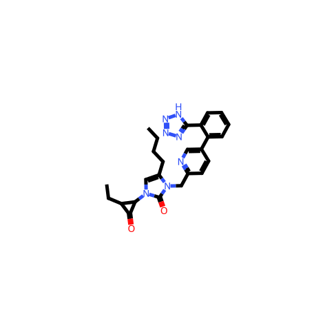 CCCCc1cn(C2C(=O)C2CC)c(=O)n1Cc1ccc(-c2ccccc2-c2nnn[nH]2)cn1